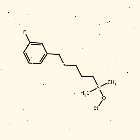 CCO[Si](C)(C)CCCCCc1cccc(F)c1